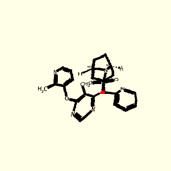 Cc1ncccc1Oc1ncnc(OC2C[C@@H]3CC[C@@H](C2)N3S(=O)(=O)Cc2ccccn2)c1C